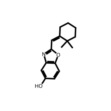 CC1(C)CCCC/C1=C/c1nc2cc(O)ccc2o1